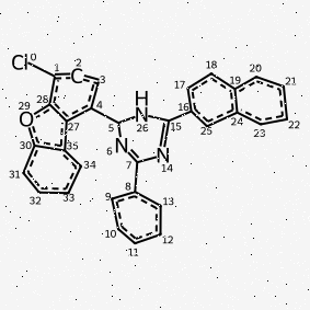 Clc1ccc(C2N=C(c3ccccc3)N=C(c3ccc4ccccc4c3)N2)c2c1oc1ccccc12